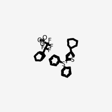 O=S(=O)([O-])C(F)(F)C(F)(F)C1CC2CCC1C2.c1ccc([S+](c2ccccc2)c2cc(C3CCCCC3)cs2)cc1